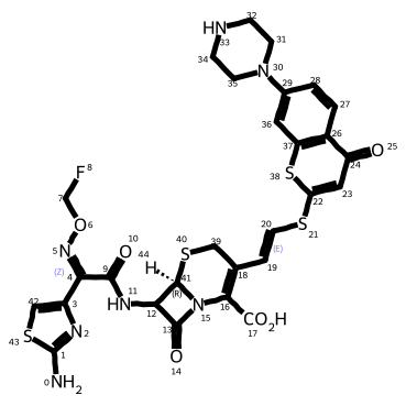 Nc1nc(/C(=N/OCF)C(=O)NC2C(=O)N3C(C(=O)O)=C(/C=C/Sc4cc(=O)c5ccc(N6CCNCC6)cc5s4)CS[C@H]23)cs1